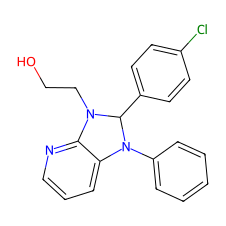 OCCN1c2ncccc2N(c2ccccc2)C1c1ccc(Cl)cc1